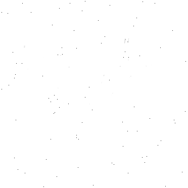 C#CC1Cc2c(C3CC3)ccc(N(C)C3CC3)c2C(C)(C)C1